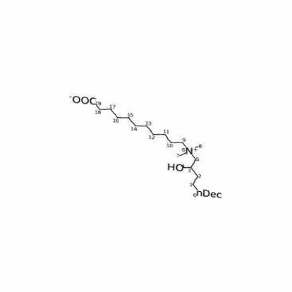 CCCCCCCCCCCCC(O)C[N+](C)(C)CCCCCCCCCCC(=O)[O-]